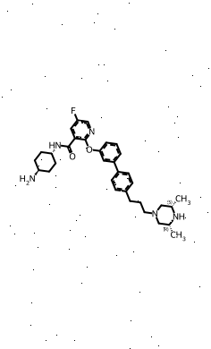 C[C@@H]1CN(CCCc2ccc(-c3cccc(Oc4ncc(F)cc4C(=O)N[C@H]4CC[C@H](N)CC4)c3)cc2)C[C@H](C)N1